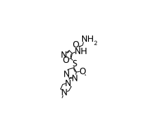 COc1nc(N2CCN(C)CC2)ncc1Sc1oncc1NC(=O)CN